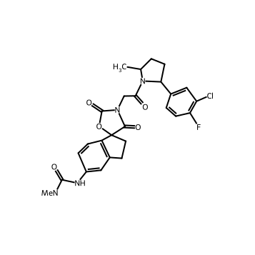 CNC(=O)Nc1ccc2c(c1)CCC21OC(=O)N(CC(=O)N2C(C)CCC2c2ccc(F)c(Cl)c2)C1=O